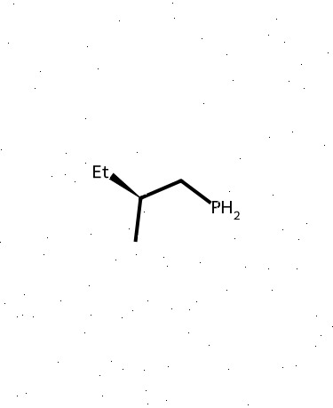 CC[C@H](C)CP